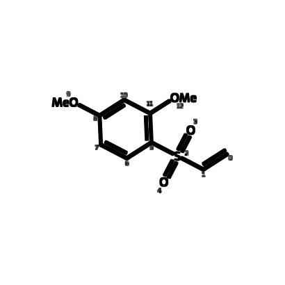 C=CS(=O)(=O)c1ccc(OC)cc1OC